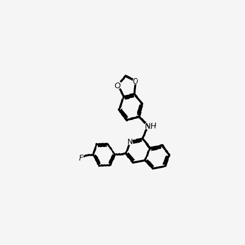 Fc1ccc(-c2cc3ccccc3c(Nc3ccc4c(c3)OCO4)n2)cc1